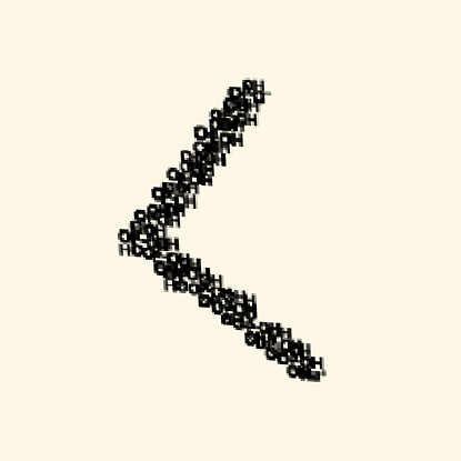 O=P(O)(O)O.O=P(O)(O)O.O=P(O)(O)O.O=P(O)(O)O.O=P(O)(O)O.O=P(O)(O)O.O=P(O)(O)O.O=P(O)(O)O.O=P(O)(O)O.O=P(O)(O)O.O=P(O)(O)O.O=P(O)(O)O.O=P(O)(O)O.O=P(O)(O)O.O=P([O-])(O)O.[Na+]